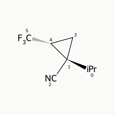 CC(C)[C@]1(C#N)C[C@H]1C(F)(F)F